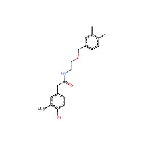 COc1cc(CC(=O)NCCOCc2ccc(C)c(C)c2)ccc1O